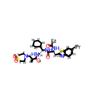 C=C(CN1CCS(=O)(=O)CC1)C(=O)NC[C@@H](NC(=O)[C@H](Cc1nc2ccc(C(C)C)cc2s1)NC(=O)CC)C1CCCCC1